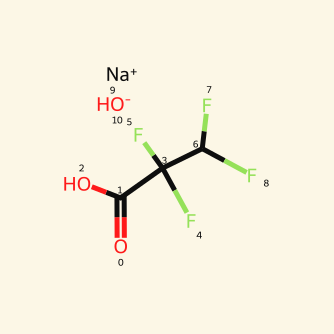 O=C(O)C(F)(F)C(F)F.[Na+].[OH-]